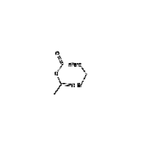 CC(=O)OC=O.CCCCCCBr